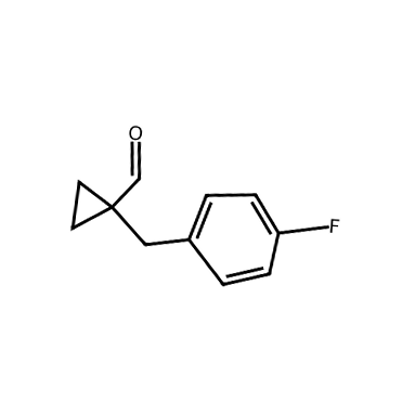 O=CC1(Cc2ccc(F)cc2)CC1